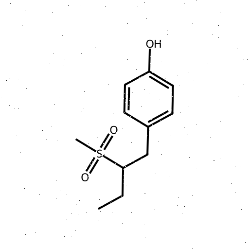 CCC(Cc1ccc(O)cc1)S(C)(=O)=O